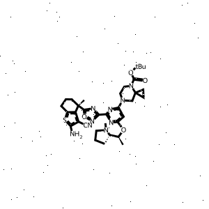 C[C@H](Oc1cc(N2CCN(C(=O)OC(C)(C)C)C3(CC3)C2)nc(-c2noc([C@@]3(C)CCCc4sc(N)c(C#N)c43)n2)n1)[C@@H]1CCCN1C